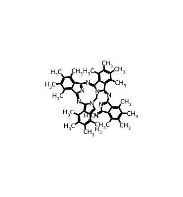 C/N=C1N=C(/N=C2/c3c(C)c(C)c(C)c(C)c3/C3=N/C4=NC(=N\c5c6c(C)c(C)c(C)c(C)c6cn5CN23)/c2c(C)c(C)c(C)c(C)c24)c2c(C)c(C)c(C)c(C)c2\1